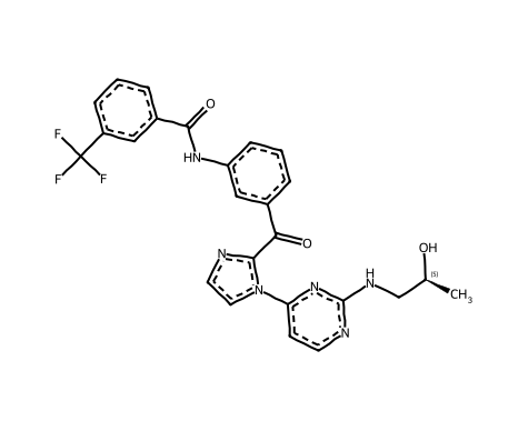 C[C@H](O)CNc1nccc(-n2ccnc2C(=O)c2cccc(NC(=O)c3cccc(C(F)(F)F)c3)c2)n1